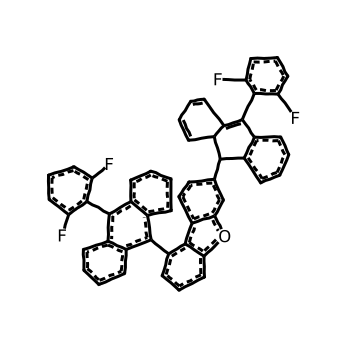 Fc1cccc(F)c1C1=C2C=CC=CC2C(c2ccc3c(c2)oc2cccc(-c4c5ccccc5c(-c5c(F)cccc5F)c5ccccc45)c23)c2ccccc21